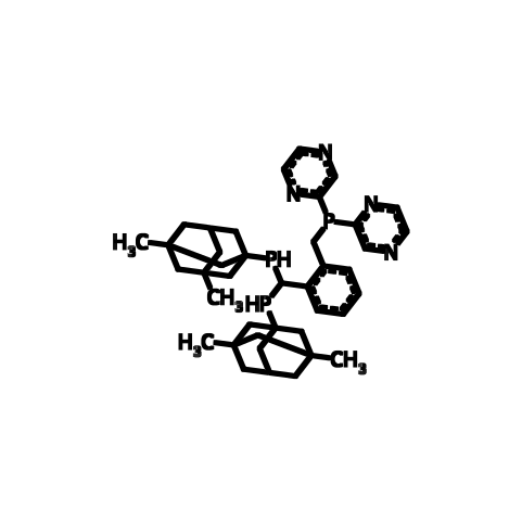 CC12CC3CC(C)(C1)CC(PC(PC14CC5CC(C)(CC(C)(C5)C1)C4)c1ccccc1CP(c1cnccn1)c1cnccn1)(C3)C2